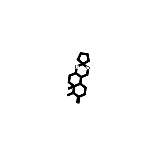 C=C1CCC2C3COC4(CCCC4)OC3CCC2(C)C1C